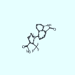 O=C(O)c1cnn(-c2ccc3c4c(cccc24)NC3=O)c1C(F)(F)F